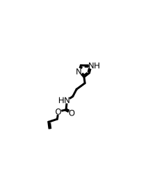 C=CCOC(=O)NCCCc1c[nH]cn1